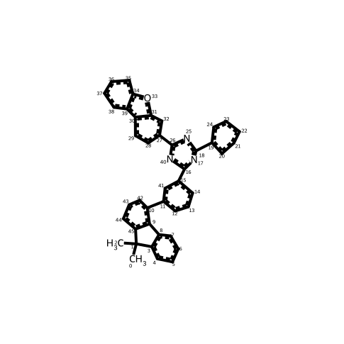 CC1(C)c2ccccc2-c2c(-c3cccc(-c4nc(-c5ccccc5)nc(-c5ccc6c(c5)oc5ccccc56)n4)c3)cccc21